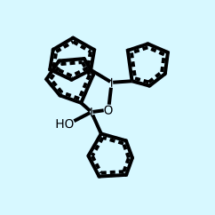 O[I](OI(c1ccccc1)c1ccccc1)(c1ccccc1)c1ccccc1